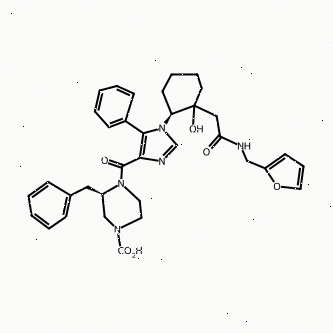 O=C(CC1(O)CCCC[C@@H]1n1cnc(C(=O)N2CCN(C(=O)O)C[C@H]2Cc2ccccc2)c1-c1ccccc1)NCc1ccco1